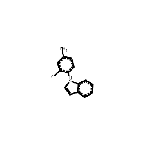 Nc1ccc([SH]2C=Cc3ccccc32)c(Cl)c1